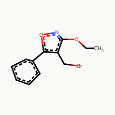 CCOc1noc(-c2ccccc2)c1CBr